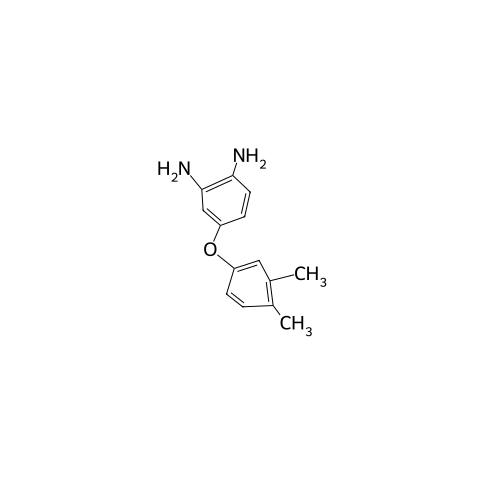 Cc1ccc(Oc2ccc(N)c(N)c2)cc1C